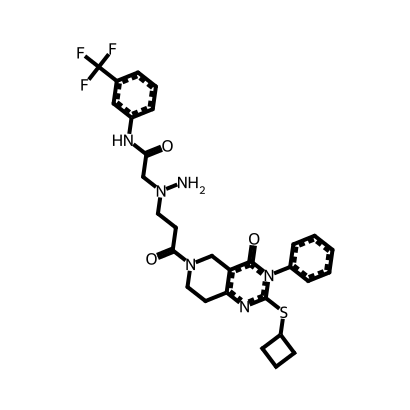 NN(CCC(=O)N1CCc2nc(SC3CCC3)n(-c3ccccc3)c(=O)c2C1)CC(=O)Nc1cccc(C(F)(F)F)c1